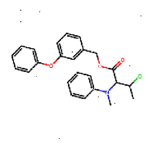 CC(Cl)C(C(=O)OCc1cccc(Oc2ccccc2)c1)N(C)c1ccccc1